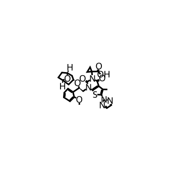 COc1ccccc1[C@H](Cn1c(=O)n(C2(C(=O)O)CC2)c(=O)c2c(C)c(-n3nccn3)sc21)O[C@@H]1C[C@H]2CC[C@@H](C1)O2